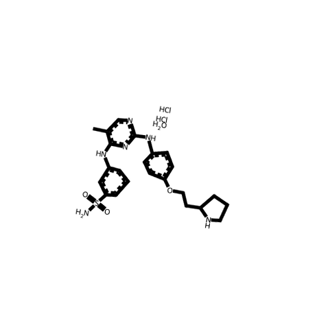 Cc1cnc(Nc2ccc(OCCC3CCCN3)cc2)nc1Nc1cccc(S(N)(=O)=O)c1.Cl.Cl.O